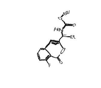 CC[C@H](NC(=O)OC(C)(C)C)c1cc2cccc(F)c2c(=O)o1